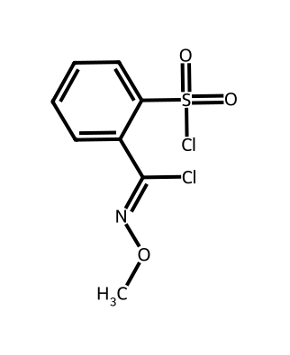 CO/N=C(\Cl)c1ccccc1S(=O)(=O)Cl